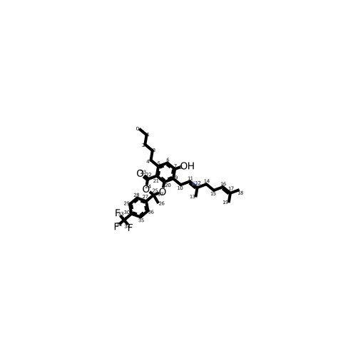 CCCCCc1cc(O)c(C/C=C(\C)CCC=C(C)C)c2c1C(=O)OC(C)(c1ccc(C(F)(F)F)cc1)O2